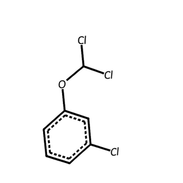 Clc1cccc(OC(Cl)Cl)c1